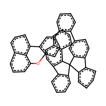 c1ccc(-c2ccc3c(c2)C2(c4ccccc4-3)c3ccccc3-c3ccc4ccccc4c32)c(-c2ccc3c(c2)-c2cccc4cccc(c24)O3)c1